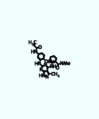 C=CC(=O)Nc1ccc(OC)c(Nc2nc(Nc3ccccc3C(=O)NC)c3c(C)n[nH]c3n2)c1